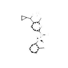 COC(c1ccc(N(Cl)S(=O)(=O)c2ccccc2C)nc1C)C1CC1